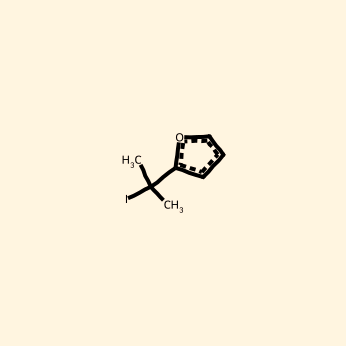 CC(C)(I)c1ccco1